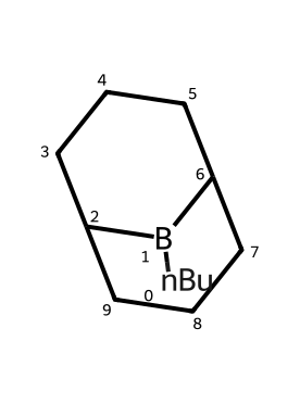 CCCCB1C2CCCC1CCC2